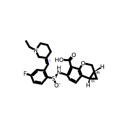 CCN1CCC/C(=C/c2cc(F)ccc2[S+]([O-])Nc2ccc3c(c2C(=O)O)OC[C@@H]2C[C@H]32)C1